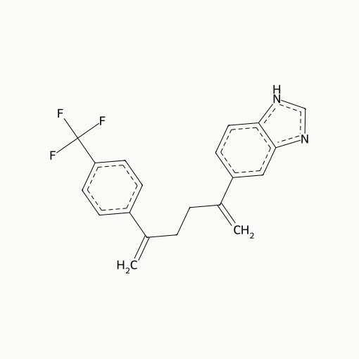 C=C(CCC(=C)c1ccc2[nH]cnc2c1)c1ccc(C(F)(F)F)cc1